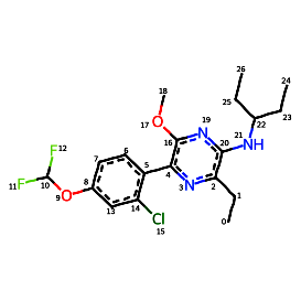 CCc1nc(-c2ccc(OC(F)F)cc2Cl)c(OC)nc1NC(CC)CC